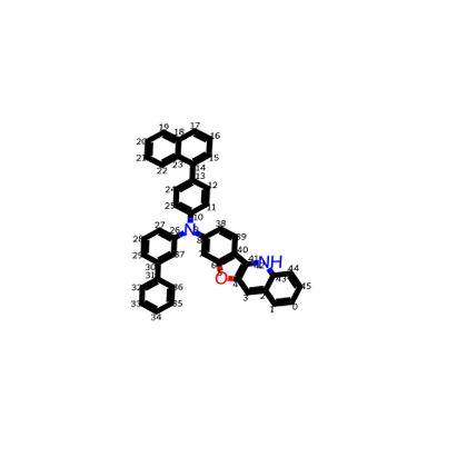 C1=CC2=Cc3oc4cc(N(c5ccc(-c6cccc7ccccc67)cc5)c5cccc(-c6ccccc6)c5)ccc4c3NC2C=C1